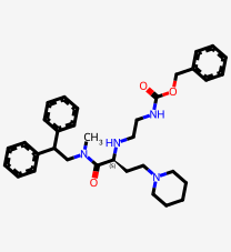 CN(CC(c1ccccc1)c1ccccc1)C(=O)[C@H](CCN1CCCCC1)NCCNC(=O)OCc1ccccc1